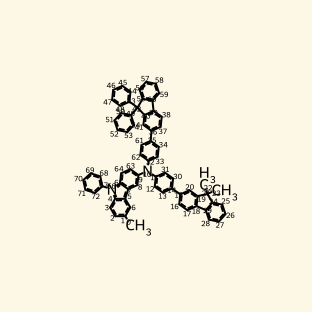 Cc1ccc2c(c1)c1cc(N(c3ccc(-c4ccc5c(c4)C(C)(C)c4ccccc4-5)cc3)c3ccc(-c4ccc5c(c4)C(c4ccccc4)(c4ccccc4)c4ccccc4-5)cc3)ccc1n2-c1ccccc1